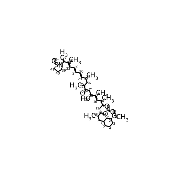 COC1CCCC(C[C@@H](C)[C@H](CC(=O)[C@H](C)/C=C(\C)C(O)CC(=O)C(C)C[C@H](C)/C=C/C=C/C=C(\C)C(C)N2CCC[S+]2[O-])OC=O)C1